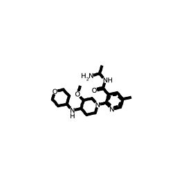 COC1CN(c2ncc(C)cc2C(=O)NC(C)N)CCC1NC1CCOCC1